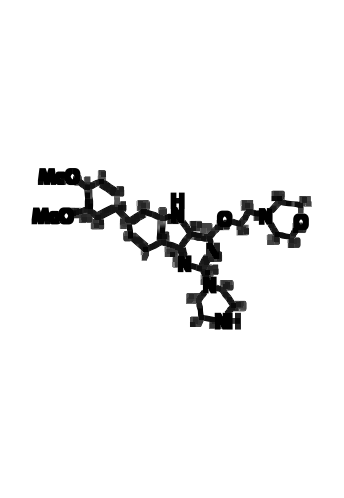 COc1ccc(-c2ccc3c(c2)[nH]c2c(OCCN4CCOCC4)nc(N4CCNCC4)nc23)cc1OC